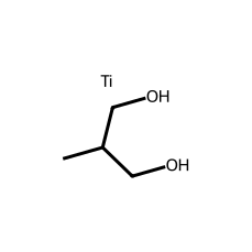 CC(CO)CO.[Ti]